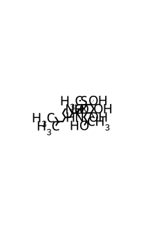 CCC(C)CC1CCNC(C(=O)N[C@@H]([C@H]2O[C@H](SC)[C@H](O)C(O)[C@H]2O)[C@@H](C)O)C1